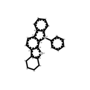 c1ccc(-n2c3ccccc3c3ccc4c5c(oc4c32)CCCC5)cc1